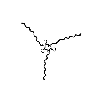 C=CCCCCCCCCCn1c(=O)n(CCCCCCCCCC=C)c(=O)n(CCCCCCCCCC=C)c1=O